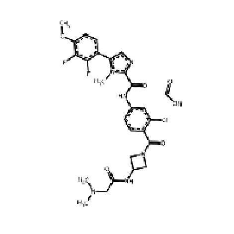 COc1ccc(-c2cnc(C(=O)Nc3ccc(C(=O)N4CC(NC(=O)CN(C)C)C4)c(Cl)c3)n2C)c(F)c1F.O=CO